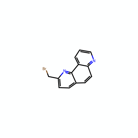 BrCc1ccc2ccc3ncccc3c2n1